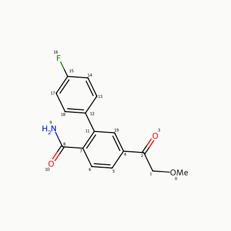 COCC(=O)c1ccc(C(N)=O)c(-c2ccc(F)cc2)c1